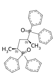 C[C@@H](C[C@H](C)P(=O)(c1ccccc1)c1ccccc1)P(=O)(c1ccccc1)c1ccccc1